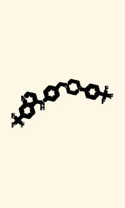 FC(F)(F)c1ccc(N2CCN(Cc3ccc(Nc4ccnc5cc(C(F)(F)F)ccc45)cc3)CC2)cc1